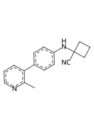 Cc1ncccc1-c1ccc(NC2(C#N)CCC2)cc1